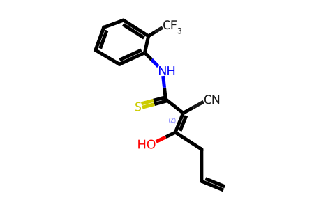 C=CC/C(O)=C(\C#N)C(=S)Nc1ccccc1C(F)(F)F